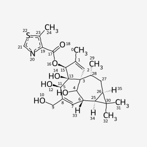 CC1=C[C@]23C(O)[C@@H](C=C(CO)[C@@H](O)[C@]2(O)[C@H]1OC(=O)c1ncsc1C)[C@H]1[C@@H](C[C@H]3C)C1(C)C